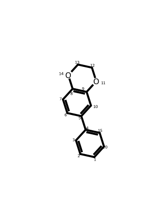 [c]1cccc(-c2ccc3c(c2)OCCO3)c1